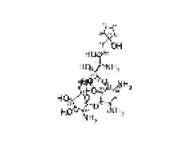 NCC1OC(OC2C(N)CC(N)C(OC(O)/C(O)=C(\N)C(O)CCC3(O)CCCC3)C2O)C(N)C(O)C1O